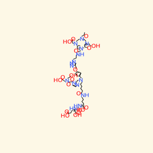 CC(=O)CN1CCN(CC(=O)O)CCN(CC(=O)NCCCn2cc(COc3ccc(CN(CCCCCC(=O)NCCCC[C@H](NC(=O)N[C@@H](CCC(=O)O)C(=O)O)C(=O)O)Cc4nccn4CC(=O)N(CC(=O)O)CC(=O)O)cc3)nn2)CCN(CC(=O)O)CC1